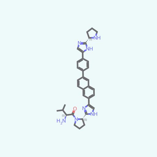 CC(C)[C@H](N)C(=O)N1CCC[C@H]1c1nc(-c2ccc3cc(-c4ccc(-c5cnc([C@@H]6CCCN6)[nH]5)cc4)ccc3c2)c[nH]1